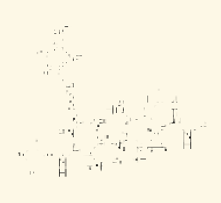 CNC(=O)[C@@]12C[C@@H]1[C@@H](n1cnc3c(NC4CCC4)nc(C#Cc4ccc(Cl)s4)nc31)C(O)C2O